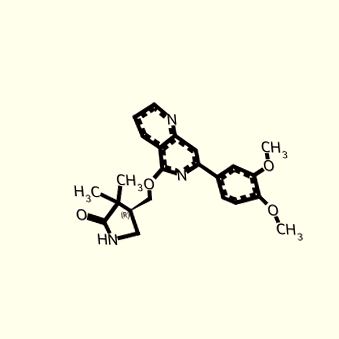 COc1ccc(-c2cc3ncccc3c(OC[C@H]3CNC(=O)C3(C)C)n2)cc1OC